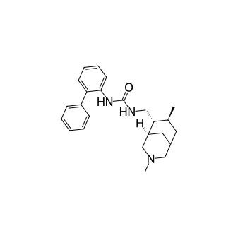 C[C@H]1CC2C[C@@H](CN(C)C2)[C@@H]1CNC(=O)Nc1ccccc1-c1ccccc1